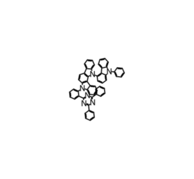 c1ccc(-c2nc(-c3ccccc3)nc(-c3ccccc3-n3c4ccccc4c4c3ccc3c5ccccc5n(-c5cccc6c5c5ccccc5n6-c5ccccc5)c34)n2)cc1